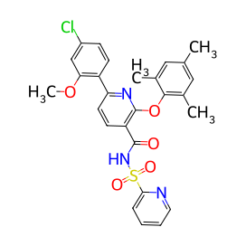 COc1cc(Cl)ccc1-c1ccc(C(=O)NS(=O)(=O)c2ccccn2)c(Oc2c(C)cc(C)cc2C)n1